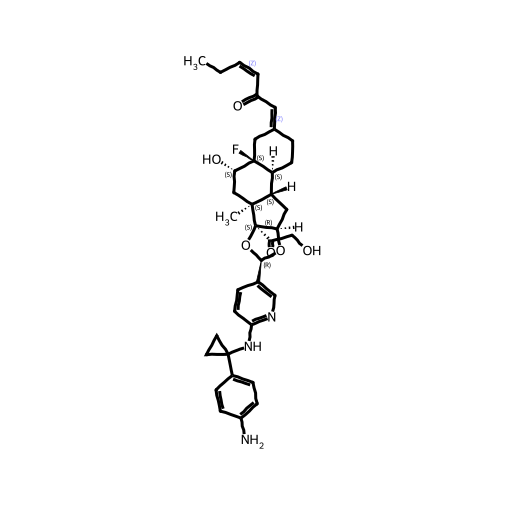 CC/C=C\C(=O)/C=C1/CC[C@H]2[C@@H]3C[C@H]4O[C@@H](c5ccc(NC6(c7ccc(N)cc7)CC6)nc5)O[C@@]4(C(=O)CO)[C@@]3(C)C[C@H](O)[C@]2(F)C1